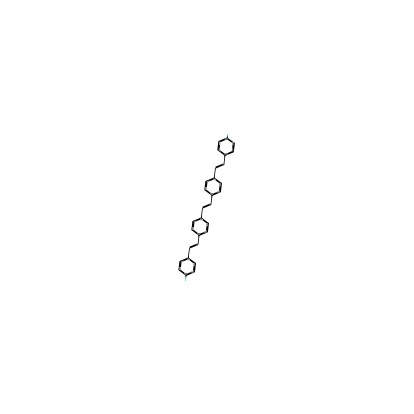 Fc1ccc(/C=C/c2ccc(/C=C/c3ccc(/C=C/c4ccc(F)cc4)cc3)cc2)cc1